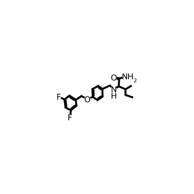 CCC(C)C(NCc1ccc(OCc2cc(F)cc(F)c2)cc1)C(N)=O